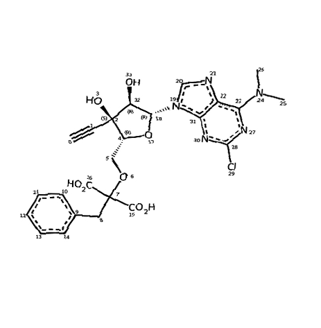 C#C[C@@]1(O)[C@@H](COC(Cc2ccccc2)(C(=O)O)C(=O)O)O[C@@H](n2cnc3c(N(C)C)nc(Cl)nc32)[C@@H]1O